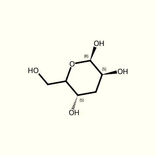 OCC1O[C@@H](O)[C@@H](O)C[C@@H]1O